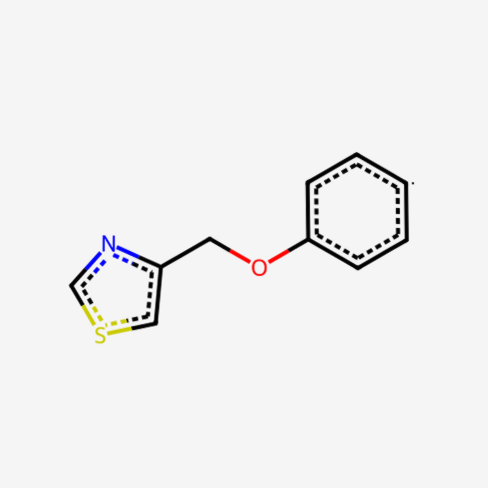 [c]1ccc(OCc2cscn2)cc1